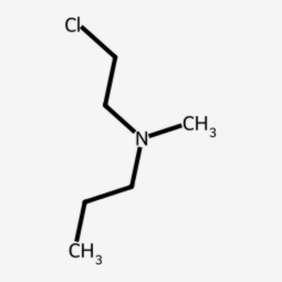 CCCN(C)CCCl